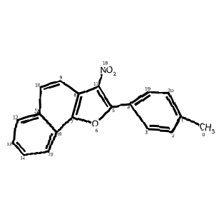 Cc1ccc(-c2oc3c(ccc4ccccc43)c2[N+](=O)[O-])cc1